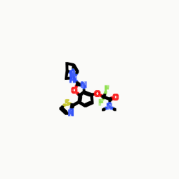 CN(C)C(=O)C(F)(F)Oc1ccc(-c2nccs2)c2oc(N3CC4CC(C3)N4)nc12